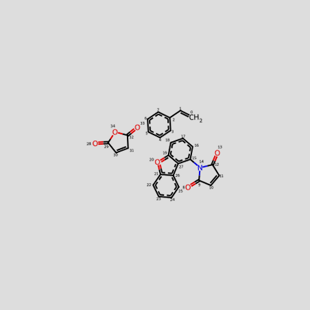 C=Cc1ccccc1.O=C1C=CC(=O)N1c1cccc2oc3ccccc3c12.O=C1C=CC(=O)O1